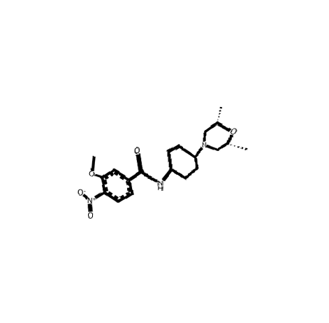 COc1cc(C(=O)NC2CCC(N3C[C@@H](C)O[C@@H](C)C3)CC2)ccc1[N+](=O)[O-]